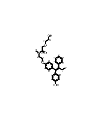 CC/C(=C(\c1ccc(O)cc1)c1ccc(OCCN(C)C(=O)COCCO)cc1)c1ccccc1